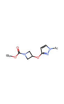 CC(=O)n1ccc(OC2CN(C(=O)OC(C)(C)C)C2)n1